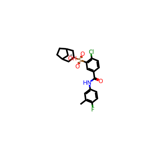 Cc1cc(NC(=O)c2ccc(Cl)c(S(=O)(=O)[C@H]3CC4CCC(C3)[C@@]4(C)O)c2)ccc1F